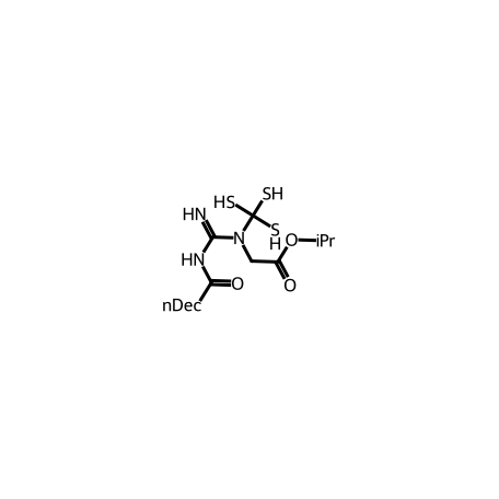 CCCCCCCCCCC(=O)NC(=N)N(CC(=O)OC(C)C)C(S)(S)S